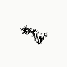 CC1(C)OB(c2cnc(N3CCC[C@H](F)C3)nc2)OC1(C)C